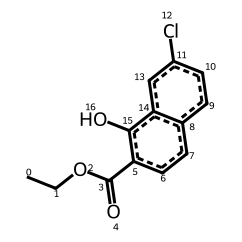 CCOC(=O)c1ccc2ccc(Cl)cc2c1O